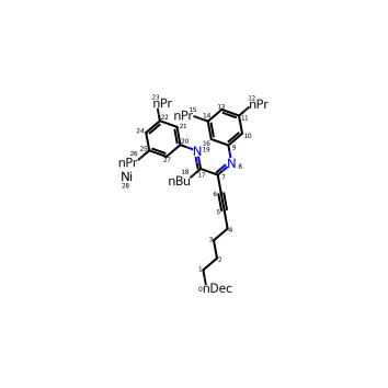 CCCCCCCCCCCCCCC#CC(=Nc1cc(CCC)cc(CCC)c1)C(CCCC)=Nc1cc(CCC)cc(CCC)c1.[Ni]